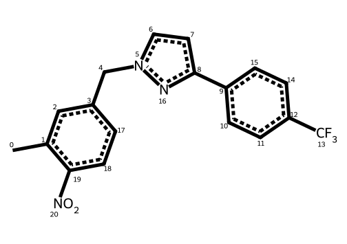 Cc1cc(Cn2ccc(-c3ccc(C(F)(F)F)cc3)n2)ccc1[N+](=O)[O-]